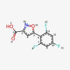 O=C(O)c1cc(-c2c(F)cc(F)cc2F)on1